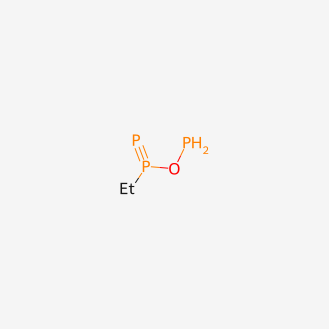 CCP(#P)OP